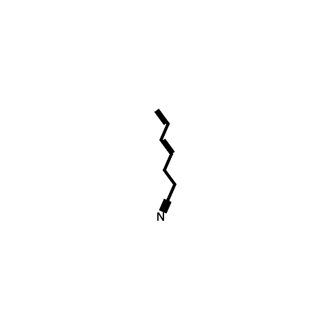 C=CC=CCCC#N